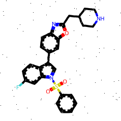 O=S(=O)(c1ccccc1)n1cc(-c2ccc3nc(CC4CCNCC4)oc3c2)c2ccc(F)cc21